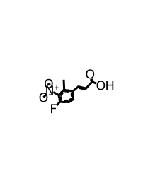 Cc1c(/C=C/C(=O)O)ccc(F)c1[N+](=O)[O-]